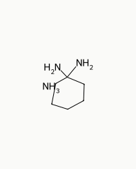 N.NC1(N)CCCCC1